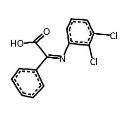 O=C(O)C(=Nc1cccc(Cl)c1Cl)c1ccccc1